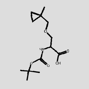 CC1(COCC(NC(=O)OC(C)(C)C)C(=O)O)CC1